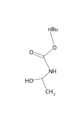 CCCCOC(=O)NC(C)O